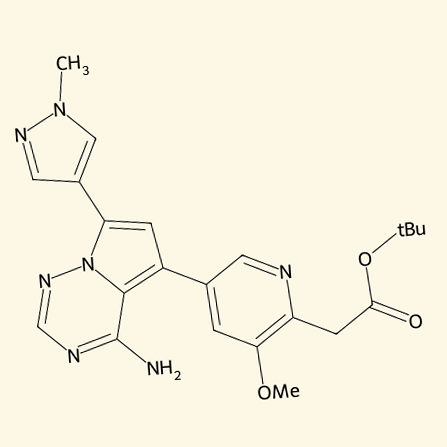 COc1cc(-c2cc(-c3cnn(C)c3)n3ncnc(N)c23)cnc1CC(=O)OC(C)(C)C